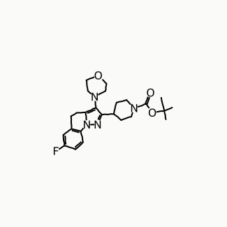 CC(C)(C)OC(=O)N1CCC(c2nn3c(c2N2CCOCC2)CCc2cc(F)ccc2-3)CC1